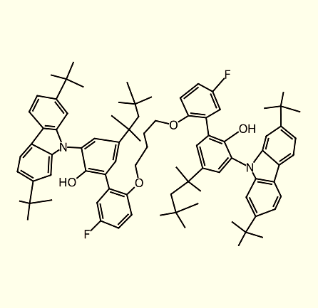 CC(C)(C)CC(C)(C)c1cc(-c2cc(F)ccc2OCCCCOc2ccc(F)cc2-c2cc(C(C)(C)CC(C)(C)C)cc(-n3c4cc(C(C)(C)C)ccc4c4ccc(C(C)(C)C)cc43)c2O)c(O)c(-n2c3cc(C(C)(C)C)ccc3c3ccc(C(C)(C)C)cc32)c1